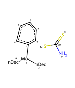 CCCCCCCCC[CH2][Mo+]([CH2]CCCCCCCCC)[c]1ccccc1.NC(=S)[S-]